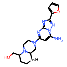 Nc1cc(N2CCN3C(CO)CC[AsH]C3C2)nc2nc(-c3ccco3)nn12